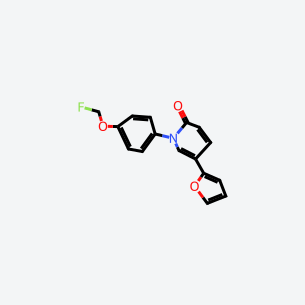 O=c1ccc(-c2ccco2)cn1-c1ccc(OCF)cc1